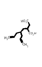 C=CCC(CC=C)CC(CC(=O)O)C(=O)O